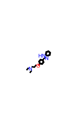 CCN(CC)CCCOc1ccc(-c2nc3ccccc3[nH]2)cc1